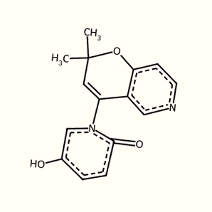 CC1(C)C=C(n2cc(O)ccc2=O)c2cnccc2O1